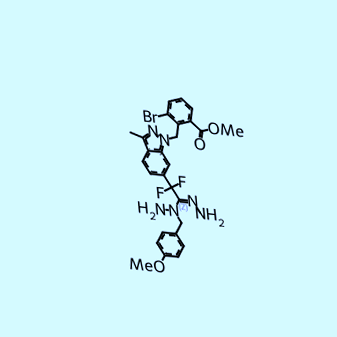 COC(=O)c1cccc(Br)c1Cn1nc(C)c2ccc(C(F)(F)/C(=N/N)N(N)Cc3ccc(OC)cc3)cc21